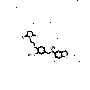 CCCN(Cc1ccc(CCCN2C(=O)CCC2=O)c(OC)c1)c1ccc2c(c1)CCO2